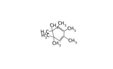 CC1=[C]C(C)(C)C(C)(C)C(C)=C1C